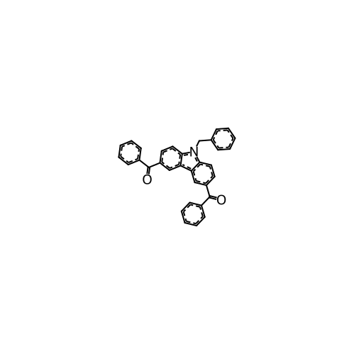 O=C(c1ccccc1)c1ccc2c(c1)c1cc(C(=O)c3ccccc3)ccc1n2Cc1ccccc1